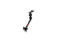 CCC(C)COC(=O)c1ccc(-c2ccc(OCCCCCCCCCCOC(=O)C(C)(OC(C)=O)OC(C)=O)cc2)cc1